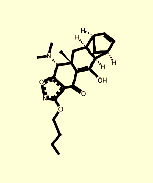 CCCCOc1noc2c1C(=O)C1=C(O)[C@H]3[C@@H](C[C@@]1(C)[C@H]2N(C)C)[C@H]1C=C[C@@H]3C1